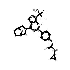 CC(C)(C)n1ncc2c(N3CC4CCC(C3)O4)nc(-c3ccc(NC(=O)NC4CC4)cc3)nc21